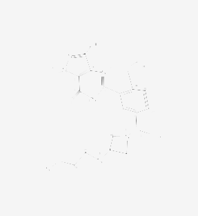 CCCc1nn(C)c2c(=O)[nH]c(-c3cc([S+]([O-])N4CC(NCCO[N+](=O)[O-])C4)ccc3OCC)nc12